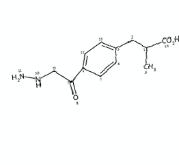 CC(Cc1ccc(C(=O)CNN)cc1)C(=O)O